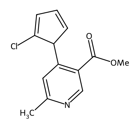 COC(=O)c1cnc(C)cc1C1C=CC=C1Cl